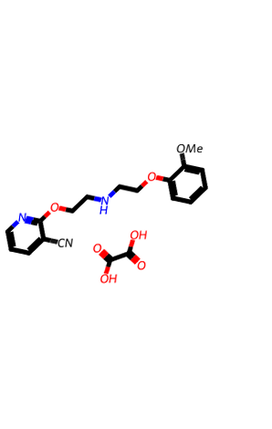 COc1ccccc1OCCNCCOc1ncccc1C#N.O=C(O)C(=O)O